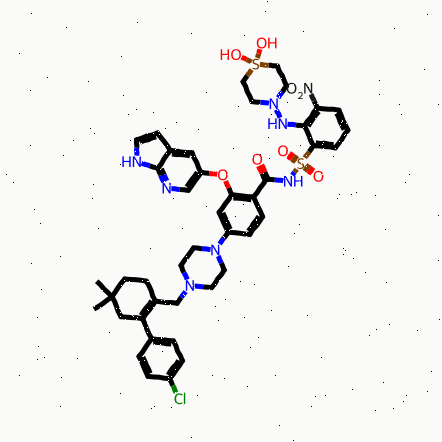 CC1(C)CCC(CN2CCN(c3ccc(C(=O)NS(=O)(=O)c4cccc([N+](=O)[O-])c4NN4CCS(O)(O)CC4)c(Oc4cnc5[nH]ccc5c4)c3)CC2)=C(c2ccc(Cl)cc2)C1